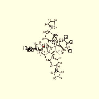 CCC(C)Oc1ccc(C(=CC2(C=C(c3ccc(OC(C)CC)cc3)c3ccc(N4CCCC4)cc3)OC(=O)c3c(Cl)c(Cl)c(Cl)c(Cl)c32)c2ccc(N3CCCC3)cc2)cc1